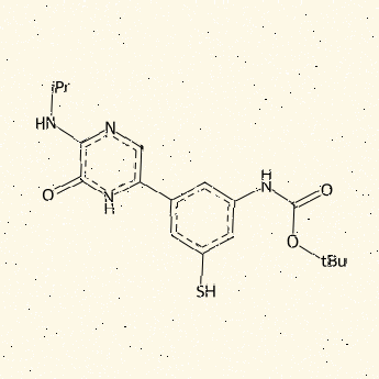 CC(C)Nc1ncc(-c2cc(S)cc(NC(=O)OC(C)(C)C)c2)[nH]c1=O